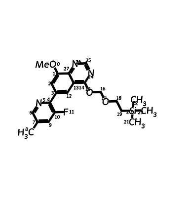 COc1cc(-c2ncc(C)cc2F)cc2c(OCOCC[Si](C)(C)C)ncnc12